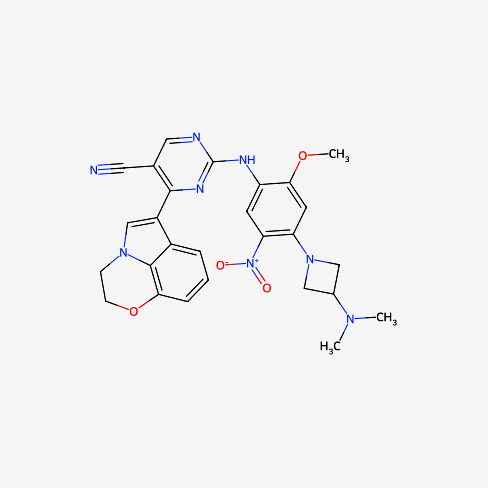 COc1cc(N2CC(N(C)C)C2)c([N+](=O)[O-])cc1Nc1ncc(C#N)c(-c2cn3c4c(cccc24)OCC3)n1